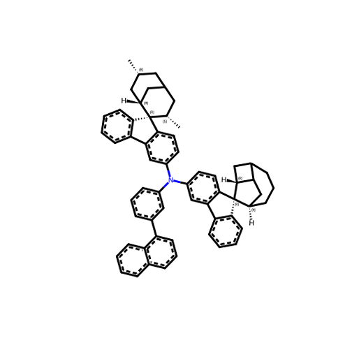 C[C@@H]1CC2C[C@@H](C1)[C@@]1(c3ccccc3-c3cc(N(c4cccc(-c5cccc6ccccc56)c4)c4ccc5c(c4)-c4ccccc4[C@]54[C@@H]5CCCC6C[C@@H]4C6C5)ccc31)[C@@H](C)C2